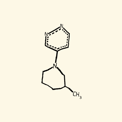 CC1CCCN(c2ccnnc2)C1